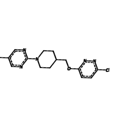 CCc1cnc(N2CCC(COc3ccc(Cl)nn3)CC2)nc1